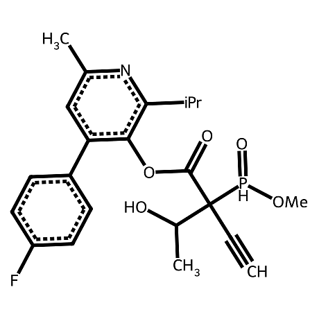 C#CC(C(=O)Oc1c(-c2ccc(F)cc2)cc(C)nc1C(C)C)(C(C)O)[PH](=O)OC